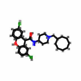 O=C(NC1CCN(CC2CCCCCCC2)CC1)C1c2cc(Cl)ccc2Oc2ccc(Cl)cc21